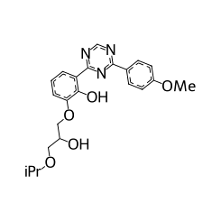 COc1ccc(-c2ncnc(-c3cccc(OCC(O)COC(C)C)c3O)n2)cc1